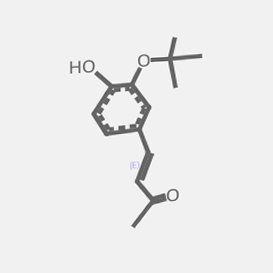 CC(=O)/C=C/c1ccc(O)c(OC(C)(C)C)c1